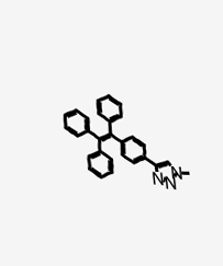 Cn1cc(-c2ccc(C(=C(c3ccccc3)c3ccccc3)c3ccccc3)cc2)nn1